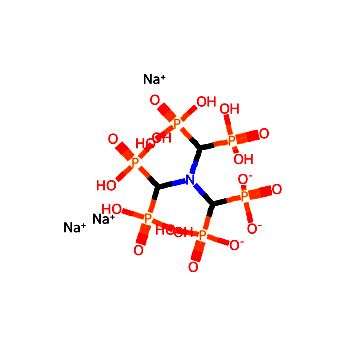 O=P([O-])([O-])C(N(C(P(=O)(O)O)P(=O)(O)O)C(P(=O)(O)O)P(=O)(O)O)P(=O)([O-])O.[Na+].[Na+].[Na+]